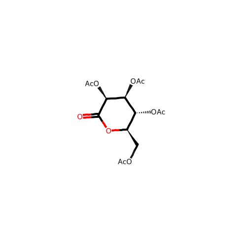 CC(=O)OC[C@H]1OC(=O)[C@@H](OC(C)=O)[C@@H](OC(C)=O)[C@@H]1OC(C)=O